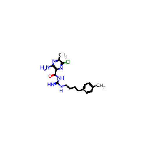 Cc1ccc(CCCCNC(=N)NC(=O)c2nc(Cl)c(C)nc2N)cc1